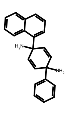 NC1(c2ccccc2)C=CC(N)(c2cccc3ccccc23)C=C1